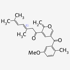 C=C1OC=C(C(=O)c2cc(OC)ccc2C)C=C1C(=O)C/C(C)=C/C=C(C)C